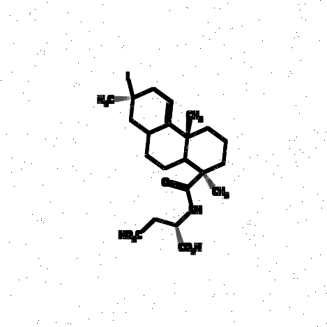 C[C@]1(I)CC=C2C(CCC3[C@](C)(C(=O)N[C@@H](CC(=O)O)C(=O)O)CCC[C@@]23C)C1